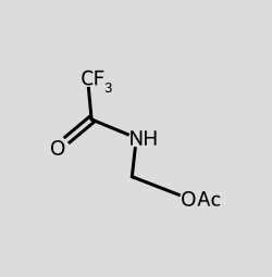 CC(=O)OCNC(=O)C(F)(F)F